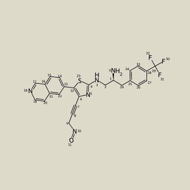 N[C@H](CNc1nc(C#CCN=O)c(-c2ccc3cnccc3c2)s1)Cc1ccc(C(F)(F)F)cc1